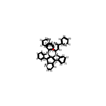 c1ccc(-n2c3ccccc3c3c4ncccc4c4c5ccccc5n(-c5cc(-c6ccccn6)nc(-c6ccccn6)c5)c4c32)cc1